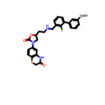 COc1cccc(-c2cccc(CNCCC3CN(c4ccc5c(c4)NC(=O)CS5)C(=O)O3)c2F)c1